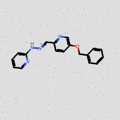 C(=N\Nc1ccccn1)/c1ccc(OCc2ccccc2)cn1